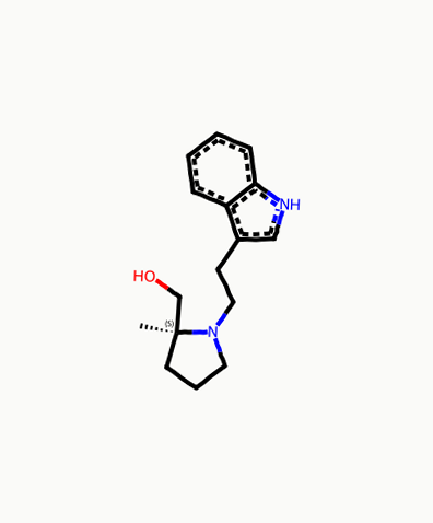 C[C@@]1(CO)CCCN1CCc1c[nH]c2ccccc12